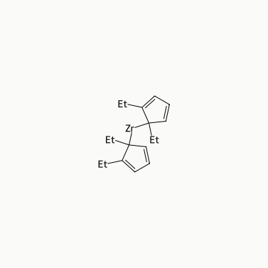 CCC1=CC=C[C]1(CC)[Zr][C]1(CC)C=CC=C1CC